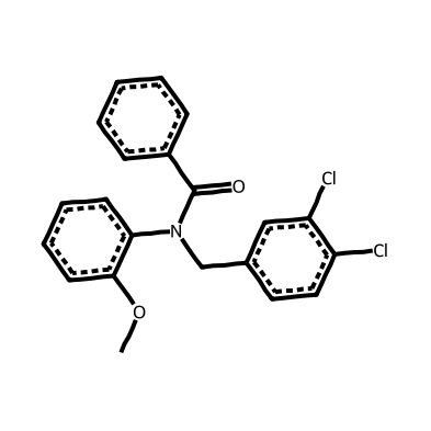 COc1ccccc1N(Cc1ccc(Cl)c(Cl)c1)C(=O)c1ccccc1